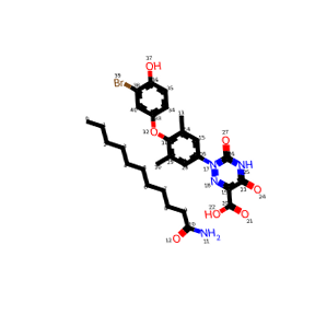 CCCCCCCCCCC(N)=O.Cc1cc(-n2nc(C(=O)O)c(=O)[nH]c2=O)cc(C)c1Oc1ccc(O)c(Br)c1